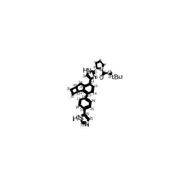 CC(C)(C)OC(=O)N1CCC[C@H]1c1nc(-c2ccc(-c3ccc(-c4cnc[nH]4)cc3)c3c2CC2CCC32)c[nH]1